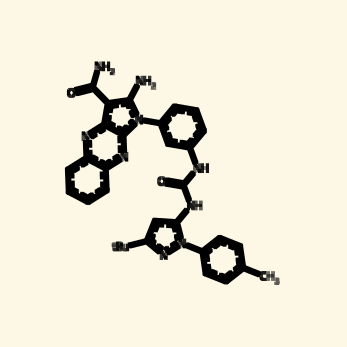 Cc1ccc(-n2nc(C(C)(C)C)cc2NC(=O)Nc2cccc(-n3c(N)c(C(N)=O)c4nc5ccccc5nc43)c2)cc1